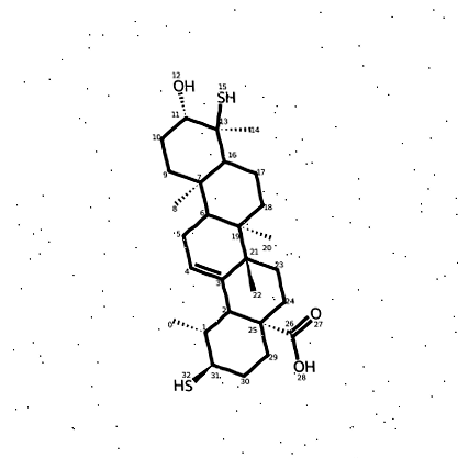 C[C@@H]1C2C3=CCC4[C@@]5(C)CC[C@H](O)[C@@](C)(S)C5CC[C@@]4(C)[C@]3(C)CC[C@@]2(C(=O)O)CC[C@H]1S